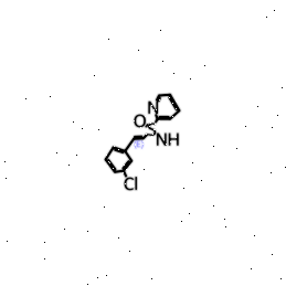 N=S(=O)(/C=C/c1cccc(Cl)c1)c1ccccn1